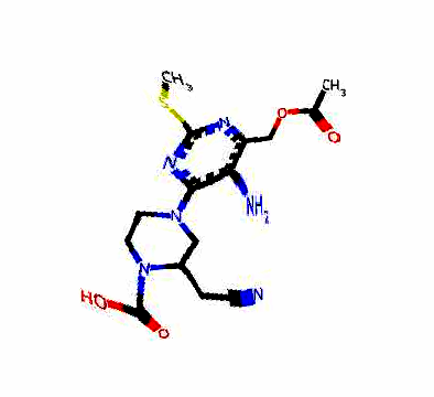 CSc1nc(COC(C)=O)c(N)c(N2CCN(C(=O)O)C(CC#N)C2)n1